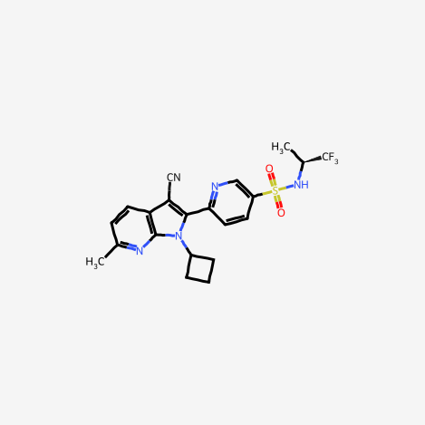 Cc1ccc2c(C#N)c(-c3ccc(S(=O)(=O)N[C@@H](C)C(F)(F)F)cn3)n(C3CCC3)c2n1